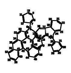 c1ccc(-c2c(N(c3ccccc3)c3ccc4c(c3)c3ccccc3n4-c3ccccc3)ccc3cc4ccccc4c(-c4ccccc4)c23)cc1